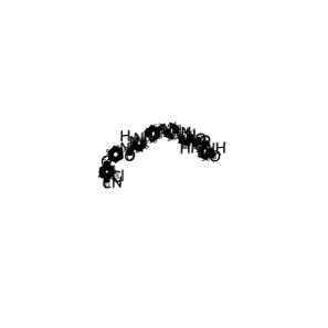 N#Cc1ccc(O[C@H]2CC[C@H](NC(=O)c3ccc(N4CCC(CN5CCN(c6ccc(C(=O)NC7CCC(=O)NC7=O)nn6)CC5)CC4)nn3)CC2)cc1Cl